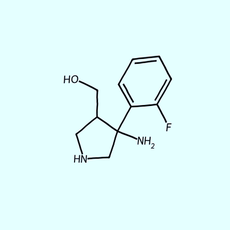 NC1(c2ccccc2F)CNCC1CO